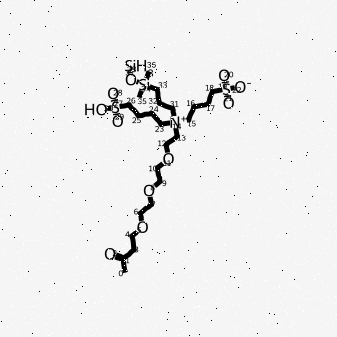 CC(=O)CCOCCOCCOCC[N+](CCCCS(=O)(=O)[O-])(CCCCS(=O)(=O)O)CCC[Si](C)(C)O[SiH3]